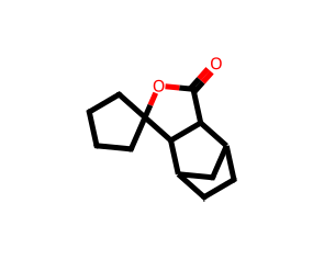 O=C1OC2(CCCC2)C2C3[CH]CC(C3)C12